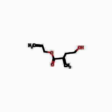 C=CCOC(=O)C(=C)CCO